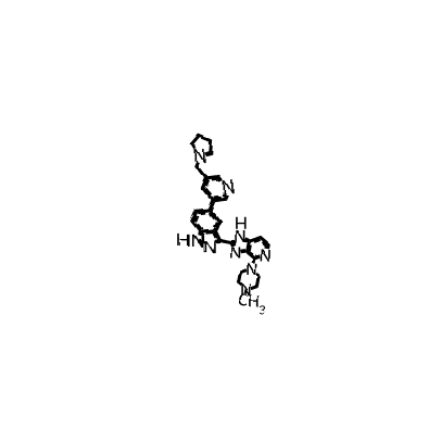 CN1CCN(c2nccc3[nH]c(-c4n[nH]c5ccc(-c6cncc(CN7CCCC7)c6)cc45)nc23)CC1